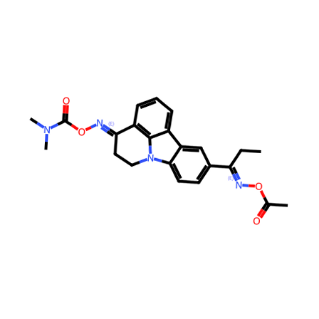 CC/C(=N\OC(C)=O)c1ccc2c(c1)c1cccc3c1n2CC/C3=N\OC(=O)N(C)C